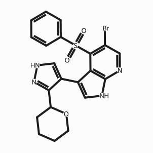 O=S(=O)(c1ccccc1)c1c(Br)cnc2[nH]cc(-c3c[nH]nc3C3CCCCO3)c12